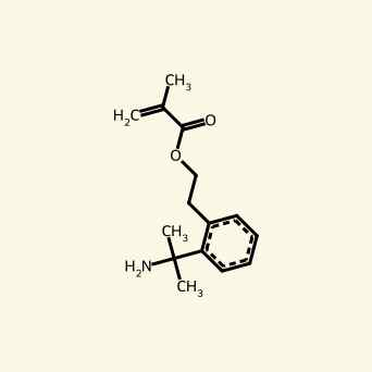 C=C(C)C(=O)OCCc1ccccc1C(C)(C)N